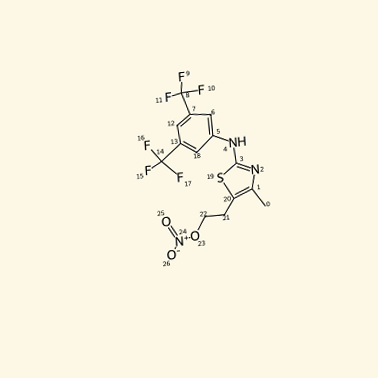 Cc1nc(Nc2cc(C(F)(F)F)cc(C(F)(F)F)c2)sc1CCO[N+](=O)[O-]